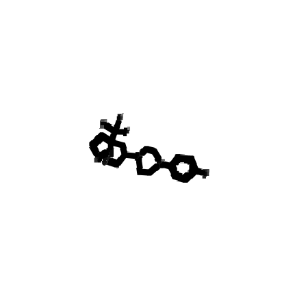 O=CC(CC1(C(F)(F)F)C=CN=N1)N1CCN(c2ccc(F)cc2)CC1